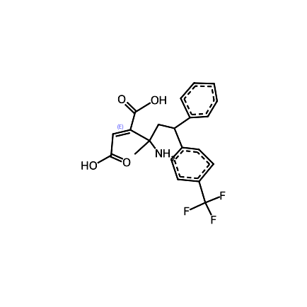 CC(N)(CC(c1ccccc1)c1ccc(C(F)(F)F)cc1)/C(=C\C(=O)O)C(=O)O